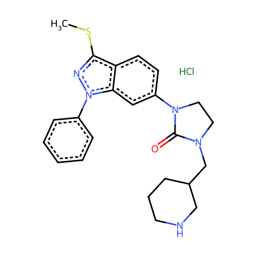 CSc1nn(-c2ccccc2)c2cc(N3CCN(CC4CCCNC4)C3=O)ccc12.Cl